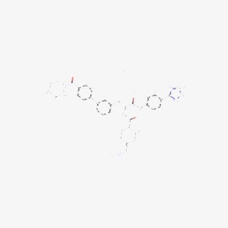 CN1CCN(C(=O)c2ccc(-c3cccc(C[C@H](NC(=O)C4CCC(CN)CC4)C(=O)Nc4ccc(-c5nnn[nH]5)cc4)c3)cc2)CC1.Cl